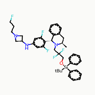 C[C@@H]1Cc2ccccc2[C@@H](c2c(F)cc(NC3CN(CCCF)C3)cc2F)N1CC(F)(F)CO[Si](c1ccccc1)(c1ccccc1)C(C)(C)C